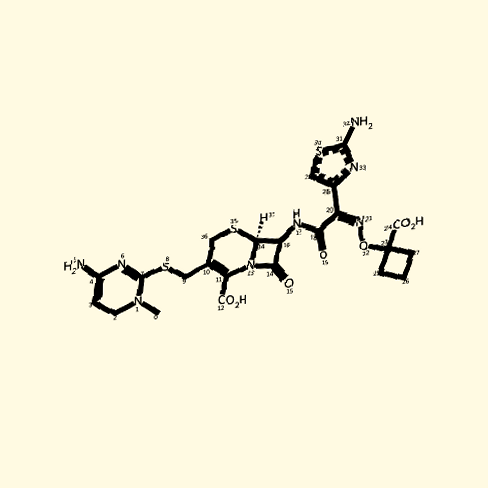 CN1CC=C(N)N=C1SCC1=C(C(=O)O)N2C(=O)C(NC(=O)/C(=N\OC3(C(=O)O)CCC3)c3csc(N)n3)[C@@H]2SC1